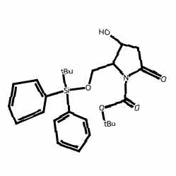 CC(C)(C)OC(=O)N1C(=O)CC(O)C1CO[Si](c1ccccc1)(c1ccccc1)C(C)(C)C